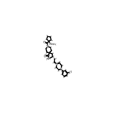 CC(=O)NC1(C(=O)N2CCC3(CC2)C[C@H](CCN2CCN(c4cccc(Cl)c4)CC2)NC3=O)CCCC1